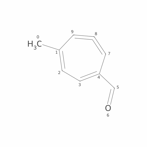 CC1=CC=C(C=O)C=C=C1